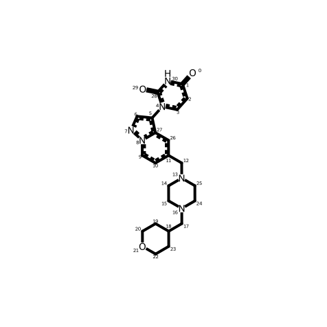 O=c1ccn(-c2cnn3ccc(CN4CCN(CC5CCOCC5)CC4)cc23)c(=O)[nH]1